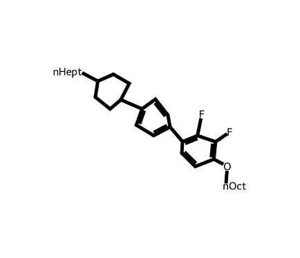 CCCCCCCCOc1ccc(-c2ccc(C3CCC(CCCCCCC)CC3)cc2)c(F)c1F